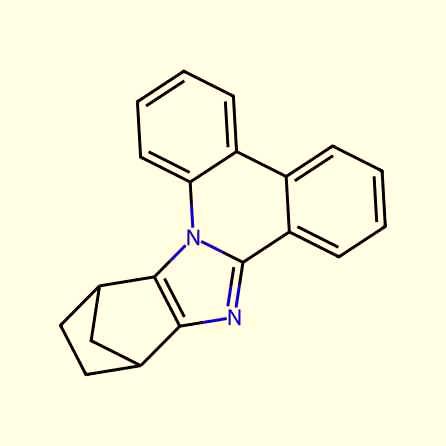 c1ccc2c(c1)c1ccccc1n1c3c(nc21)C1CCC3C1